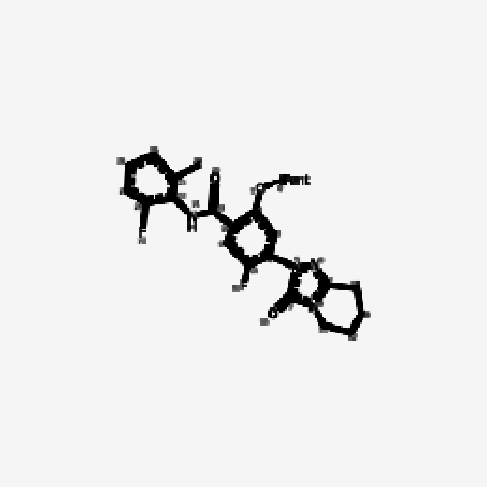 CCC[C@H](C)Oc1cc(-n2nc3n(c2=O)CCCC3)c(F)cc1C(=O)Nc1c(C)cccc1F